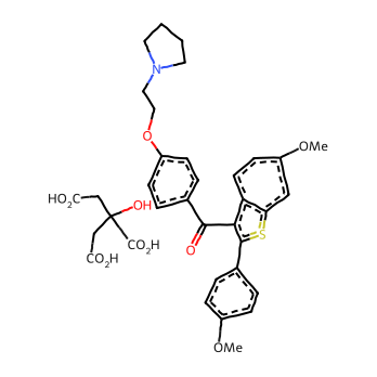 COc1ccc(-c2sc3cc(OC)ccc3c2C(=O)c2ccc(OCCN3CCCC3)cc2)cc1.O=C(O)CC(O)(CC(=O)O)C(=O)O